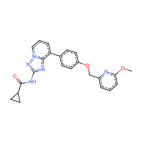 COc1cccc(COc2ccc(-c3cccn4nc(NC(=O)C5CC5)nc34)cc2)n1